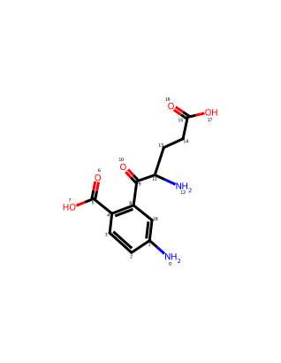 Nc1ccc(C(=O)O)c(C(=O)C(N)CCC(=O)O)c1